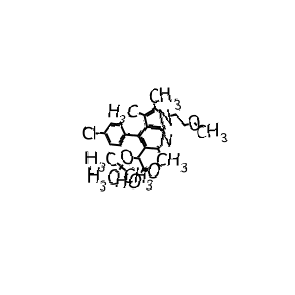 COCCn1c(C)c(C)c2c(-c3ccc(Cl)cc3)c(C(OC(C)(C)C)C(=O)O)c(C)nc21